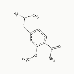 COc1cc(C[C](C)C)ccc1C(N)=O